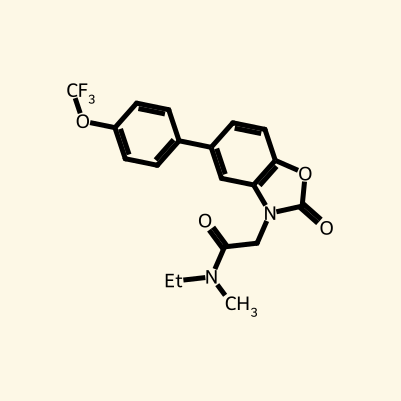 CCN(C)C(=O)Cn1c(=O)oc2ccc(-c3ccc(OC(F)(F)F)cc3)cc21